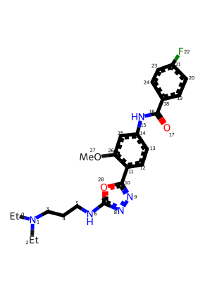 CCN(CC)CCCNc1nnc(-c2ccc(NC(=O)c3ccc(F)cc3)cc2OC)o1